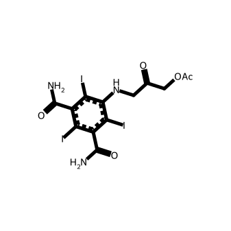 CC(=O)OCC(=O)CNc1c(I)c(C(N)=O)c(I)c(C(N)=O)c1I